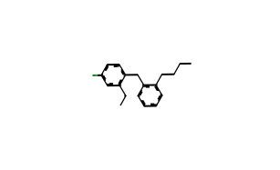 CCCCc1ccccc1Cc1ccc(F)cc1CC